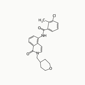 Cc1c(Cl)cccc1C(=O)Nc1cccc2c(=O)n(CC3CCOCC3)ccc12